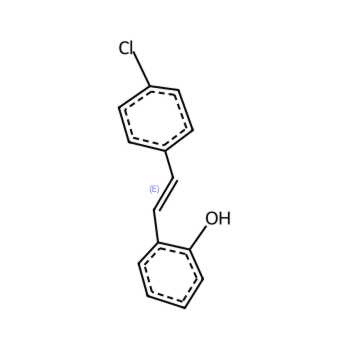 Oc1ccccc1/C=C/c1ccc(Cl)cc1